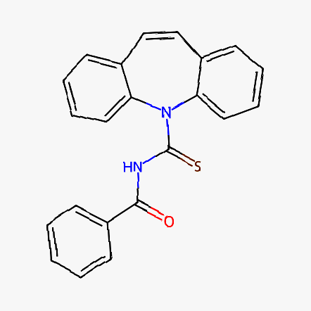 O=C(NC(=S)N1c2ccccc2C=Cc2ccccc21)c1ccccc1